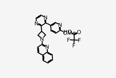 COc1ccc(-c2nccnc2C2CN(c3ccc4ccccc4n3)C2)cn1.O=C(O)C(F)(F)F